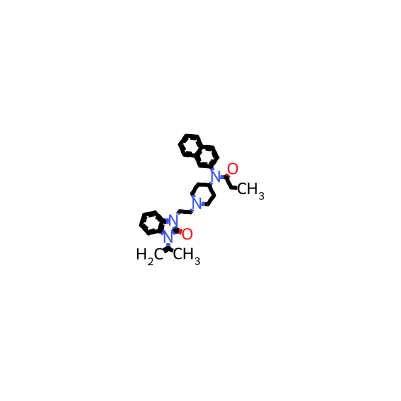 C=C(C)n1c(=O)n(CCN2CCC(N(C(=O)CC)c3ccc4ccccc4c3)CC2)c2ccccc21